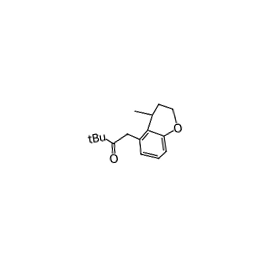 CC1CCOc2cccc(CC(=O)C(C)(C)C)c21